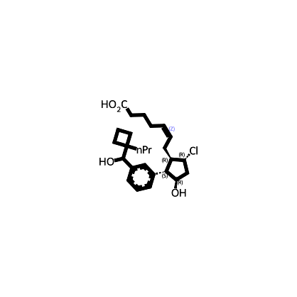 CCCC1(C(O)c2cccc([C@@H]3[C@@H](C/C=C\CCCC(=O)O)[C@H](Cl)C[C@H]3O)c2)CCC1